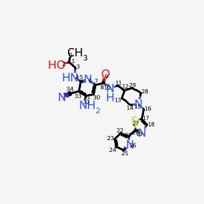 CC(O)CNc1nc(C(=O)NCC2CCN(Cc3cnc(-c4ccccn4)s3)CC2)cc(N)c1C#N